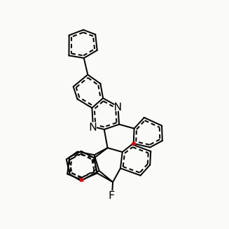 FC12c3ccccc3C(c3nc4ccc(-c5ccccc5)cc4nc3-c3ccccc3)(c3ccccc31)c1ccccc12